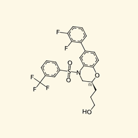 O=S(=O)(c1cccc(C(F)(F)F)c1)N1C[C@H](CCCO)Oc2ccc(-c3cccc(F)c3F)cc21